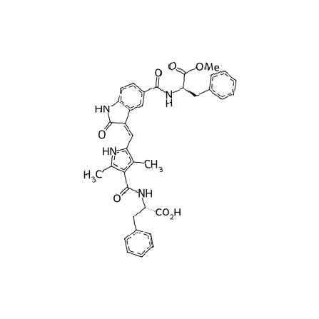 COC(=O)[C@@H](Cc1ccccc1)NC(=O)c1ccc2c(c1)C(=Cc1[nH]c(C)c(C(=O)N[C@@H](Cc3ccccc3)C(=O)O)c1C)C(=O)N2